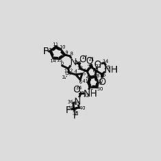 CC([C@@H](C)C1CC1)N(Cc1ccc(F)cc1)C(=O)CC1C(=O)[C@@]2(OCNC2=O)c2ccc(NC(=O)N3CC(F)(F)C3)cc21